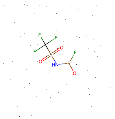 O=S(=O)(N[S+]([O-])F)C(F)(F)F